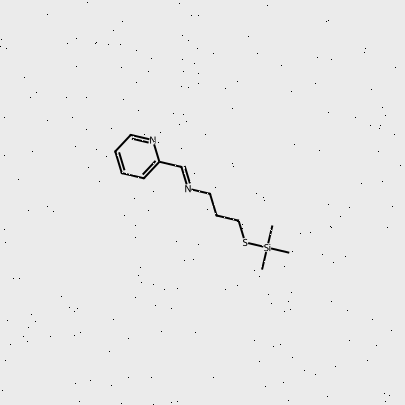 C[Si](C)(C)SCCCN=Cc1ccccn1